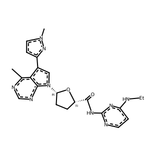 CCNc1ccnc(NC(=O)[C@@H]2CC[C@H](n3cc(-c4ccn(C)n4)c4c(C)ncnc43)O2)n1